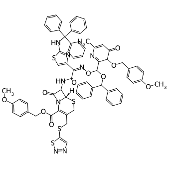 COc1ccc(COC(=O)C2=C(CSc3cnns3)CS[C@H]3C(NC(=O)/C(=N\OC(OC(c4ccccc4)c4ccccc4)C4=NC(C)=CC(=O)C4OCc4ccc(OC)cc4)c4csc(NC(c5ccccc5)(c5ccccc5)c5ccccc5)n4)C(=O)N23)cc1